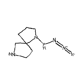 [N-]=[N+]=NPN1CCCC12CCNC2